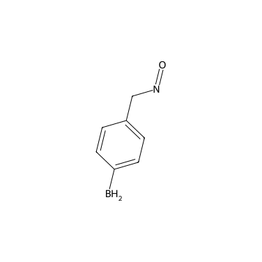 Bc1ccc(CN=O)cc1